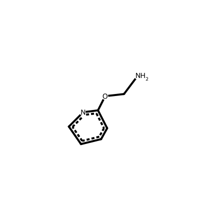 NCOc1ccccn1